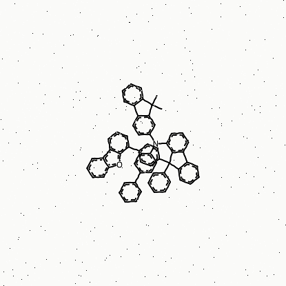 CC1(C)c2ccccc2-c2ccc(N(c3ccc(-c4ccccc4)cc3)c3cccc4c3C(c3ccccc3)(c3ccc(-c5cccc6c5oc5ccccc56)cc3)c3ccccc3-4)cc21